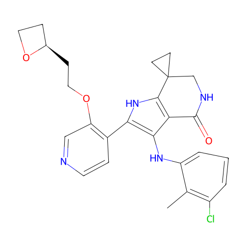 Cc1c(Cl)cccc1Nc1c(-c2ccncc2OCC[C@@H]2CCO2)[nH]c2c1C(=O)NCC21CC1